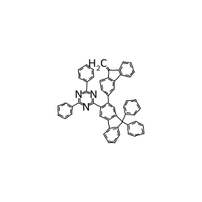 C=C1c2ccccc2-c2cc(-c3cc4c(cc3-c3nc(-c5ccccc5)nc(-c5ccccc5)n3)-c3ccccc3C4(c3ccccc3)c3ccccc3)ccc21